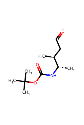 [CH2][C@H](NC(=O)OC(C)(C)C)[C@@H](C)CC=O